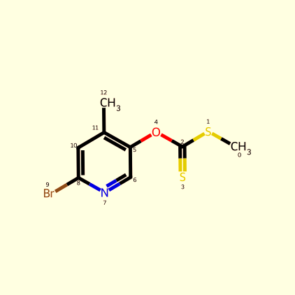 CSC(=S)Oc1cnc(Br)cc1C